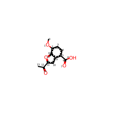 COc1ccc(C(=O)O)c2cc(C(C)=O)oc12